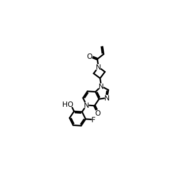 C=CC(=O)N1CC(n2cnc3c(=O)n(-c4c(O)cccc4F)ccc32)C1